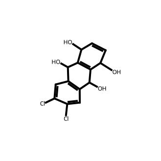 OC1C=CC(O)C2=C1C(O)c1cc(Cl)c(Cl)cc1C2O